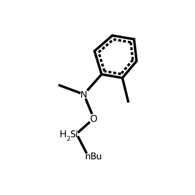 CCCC[SiH2]ON(C)c1ccccc1C